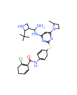 CC1CCN1c1cc(NC(N)C2CNC2C(C)(C)C)nc(SC2C=CC(NC(=O)C3=C(Cl)CCC=C3)=CC2)n1